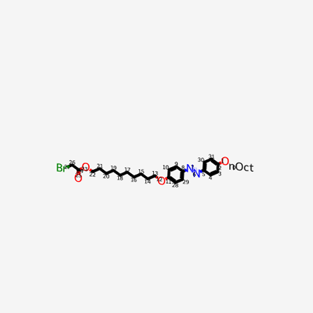 CCCCCCCCOc1ccc(/N=N/c2ccc(OCCCCCCCCCCOC(=O)CBr)cc2)cc1